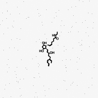 C=C/C=C\C(=C/C)CC[C@H](O)/C=C/[C@@H]1[C@@H](C/C=C\CCCC(=O)NCC)[C@@H](O)C[C@H]1O